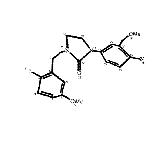 COc1ccc(F)c(CN2CCN(c3ccc(Br)c(OC)c3)C2=O)c1